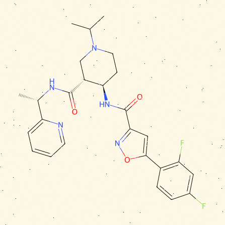 CC(C)N1CC[C@@H](NC(=O)c2cc(-c3ccc(F)cc3F)on2)[C@H](C(=O)N[C@@H](C)c2ccccn2)C1